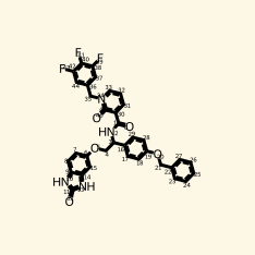 O=C(NC(COc1ccc2[nH]c(=O)[nH]c2c1)c1ccc(OCc2ccccc2)cc1)c1cccn(Cc2cc(F)c(F)c(F)c2)c1=O